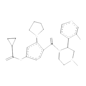 C=C(Nc1ccc(C(=C)N2CCN(C)CC2c2ccncc2Cl)c(N2CCCC2)c1)C1CC1